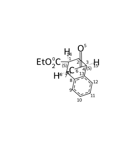 CCOC(=O)[C@H]1C[C@@H]2C(=O)C[C@H]1c1ccccc12